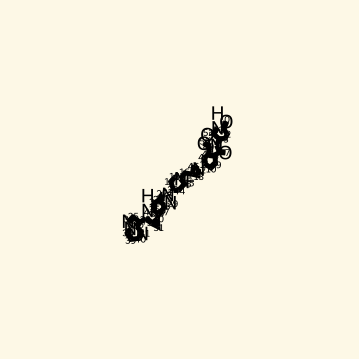 O=C1CCC(N2C(=O)c3ccc(N4CC(F)(CN5CCC(n6cc7cc8c(cc7n6)C6CC6=C(c6cnn7cccnc67)N8)CC5)C4)cc3C2=O)C(=O)N1